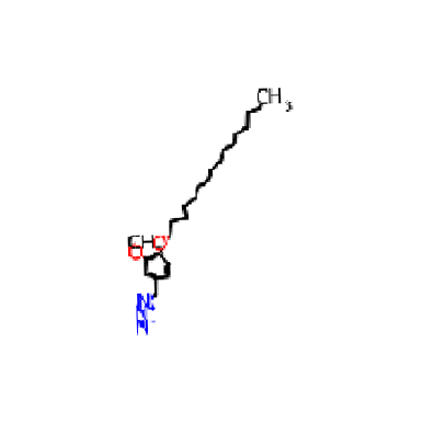 CCCCCCCCCCCCCCCCOc1ccc(CN=[N+]=[N-])cc1OC